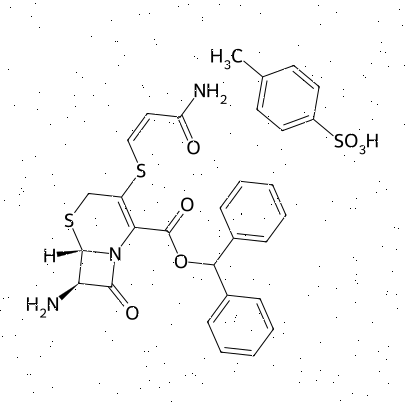 Cc1ccc(S(=O)(=O)O)cc1.NC(=O)/C=C\SC1=C(C(=O)OC(c2ccccc2)c2ccccc2)N2C(=O)[C@@H](N)[C@@H]2SC1